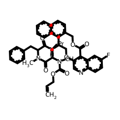 C=CCOC(=O)N(C)C(CC(C)C)C(=O)N(C)C(Cc1ccccc1)C(=O)NC(COc1cnc2ccc(F)cc2c1C(=O)OCc1ccccc1)Cc1ccccc1